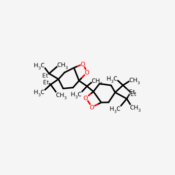 CCC(C)(C)C1(C(C)(C)CC)CCC2(C(C)(C)C34CCC(C(C)(C)CC)(C(C)(C)CC)CC3OO4)OOC2C1